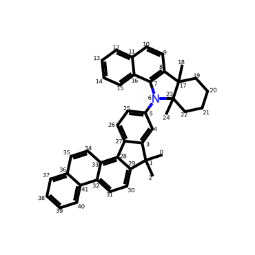 CC1(C)c2cc(N3c4c(ccc5ccccc45)C4(C)CCCCC34C)ccc2-c2c1ccc1c2ccc2ccccc21